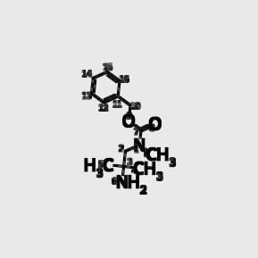 CN(CC(C)(C)N)C(=O)OCc1ccccc1